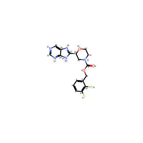 O=C(OCc1cccc(F)c1F)N1CCO[C@H](c2nc3cncnc3[nH]2)C1